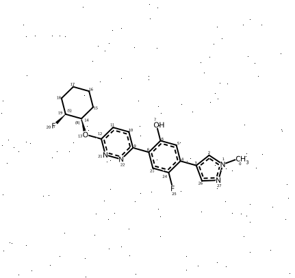 Cn1cc(-c2cc(O)c(-c3ccc(O[C@@H]4CCCC[C@@H]4F)nn3)cc2F)cn1